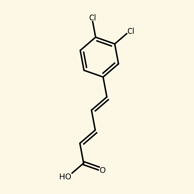 O=C(O)C=CC=Cc1ccc(Cl)c(Cl)c1